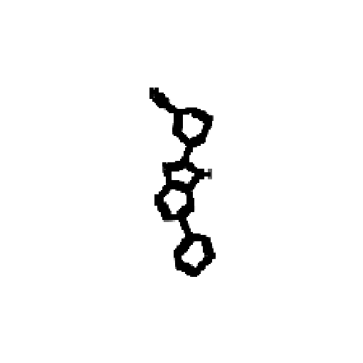 N#Cc1cccc(-c2nc3ncc(-c4ccccc4)cc3[nH]2)c1